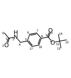 CC(=O)NCc1ccc(C(=O)OC(C)(C)C)cc1